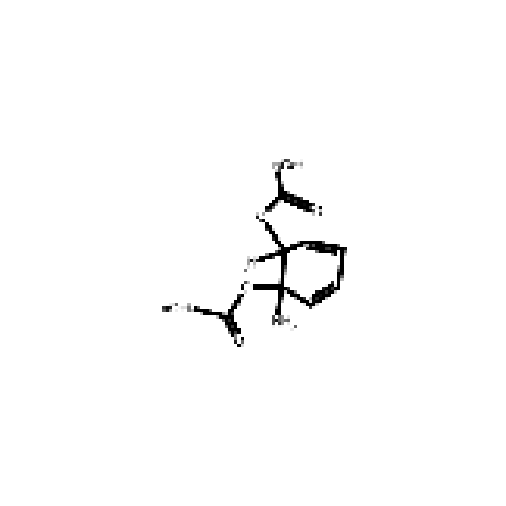 CCCCCCCCC(=O)OC1(N)C=CC=CC1(N)OC(=O)CCCCCCCC